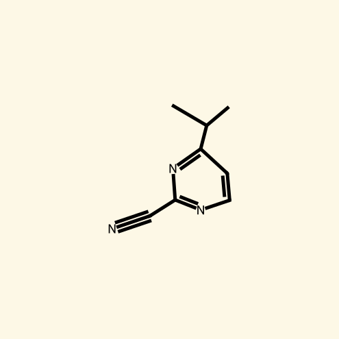 CC(C)c1ccnc(C#N)n1